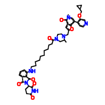 CC1CN(C(=O)CCCCCCCCCCNc2cccc3c2C(=O)N(C2CCC(=O)NC2=O)C3=O)CCN1Cc1cc2c(=O)n(C)cc(-c3ccncc3OCC3CC3)c2o1